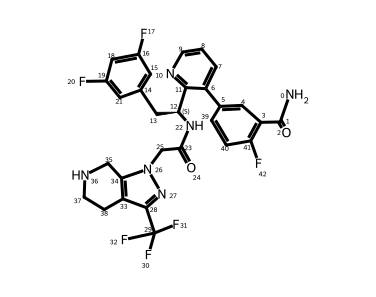 NC(=O)c1cc(-c2cccnc2[C@H](Cc2cc(F)cc(F)c2)NC(=O)Cn2nc(C(F)(F)F)c3c2CNCC3)ccc1F